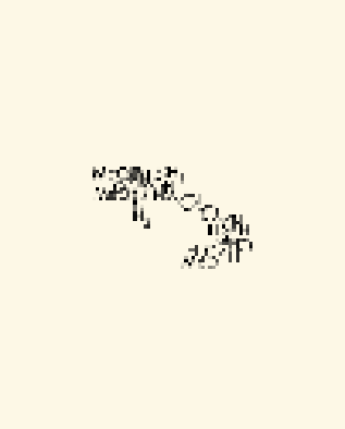 CC[C@H](C)N(C(=O)[C@@H](NC(=O)OC)[C@H](C)OC)[C@@H](C)c1ncc(-c2ccc(-c3ccc(-c4cnc([C@@H]5[C@H]6CC[C@H](C6)N5C(=O)C[C@H](C)OC)[nH]4)cc3)nc2)[nH]1